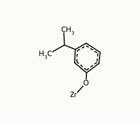 CC(C)c1cccc([O][Zr])c1